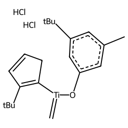 Cl.Cl.[CH2]=[Ti]([O]c1cc(C)cc(C(C)(C)C)c1)[C]1=C(C(C)(C)C)C=CC1